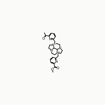 COC(=O)c1cccc(C[N+]23CCN4CC[N+]5(Cc6cccc(C(C)=O)n6)CCN(CC2)C3C45)n1